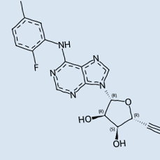 C#C[C@H]1O[C@@H](n2cnc3c(Nc4cc(C)ccc4F)ncnc32)[C@H](O)[C@@H]1O